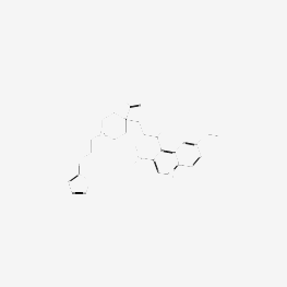 COc1ccc2ncc(N(C)C)c(C(F)CCC3(C(=O)O)CCN(CCSc4cccs4)CC3)c2c1